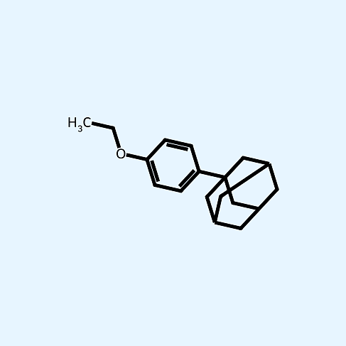 CCOc1ccc(C23CC4CC(CC(C4)C2)C3)cc1